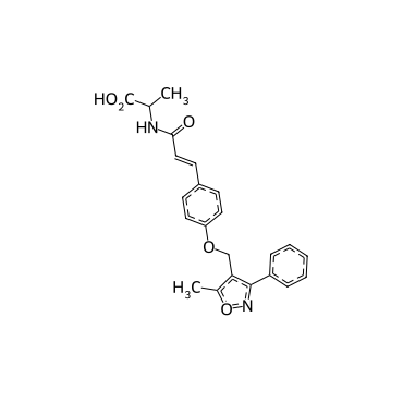 Cc1onc(-c2ccccc2)c1COc1ccc(/C=C/C(=O)NC(C)C(=O)O)cc1